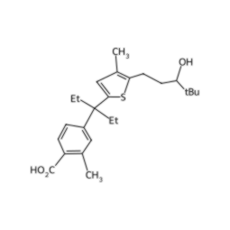 CCC(CC)(c1ccc(C(=O)O)c(C)c1)c1cc(C)c(CCC(O)C(C)(C)C)s1